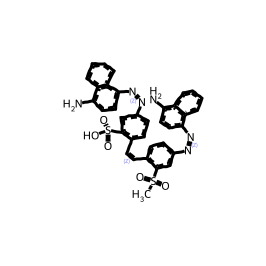 CS(=O)(=O)c1cc(/N=N\c2ccc(N)c3ccccc23)ccc1/C=C\c1ccc(/N=N\c2ccc(N)c3ccccc23)cc1S(=O)(=O)O